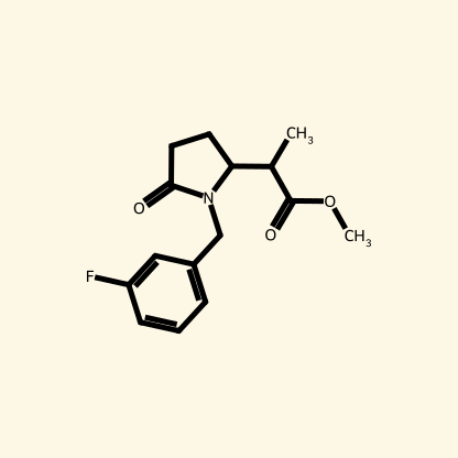 COC(=O)C(C)C1CCC(=O)N1Cc1cccc(F)c1